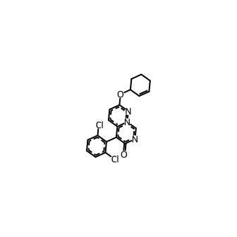 O=c1ncn2nc(OC3C=CCCC3)ccc2c1-c1c(Cl)cccc1Cl